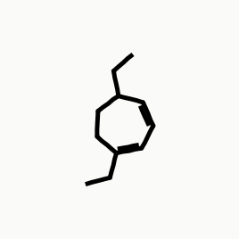 CCC1=CC=CC(CC)CC1